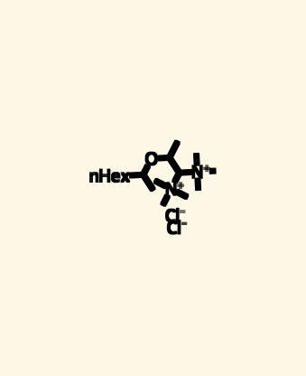 CCCCCCC(C)OC(C)C([N+](C)(C)C)[N+](C)(C)C.[Cl-].[Cl-]